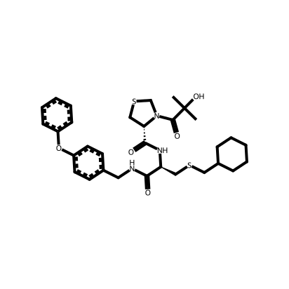 CC(C)(O)C(=O)N1CSC[C@H]1C(=O)N[C@@H](CSCC1CCCCC1)C(=O)NCc1ccc(Oc2ccccc2)cc1